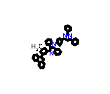 CC1C=C(c2nc3ccccc3c3c2c2ccccc2n3-c2ccc(-c3cc(-c4ccccc4)nc(-c4ccccc4)n3)cc2)C=C(c2cc3ccccc3c3ccccc23)C1